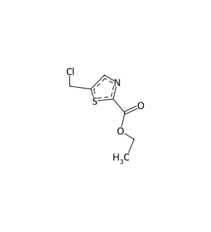 CCOC(=O)c1ncc(CCl)s1